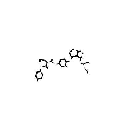 COCC[C@H](CO)Nc1n[nH]c2nccc(Oc3ccc(NC(=O)c4ccnn(-c5ccc(F)cc5)c4=O)cc3F)c12